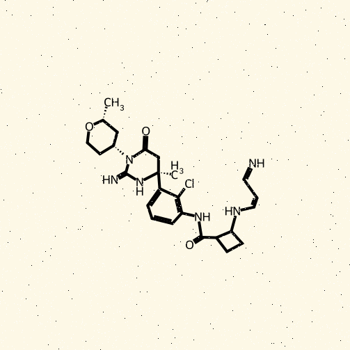 C[C@@H]1C[C@H](N2C(=N)N[C@](C)(c3cccc(NC(=O)C4CCC4N/C=C\C=N)c3Cl)CC2=O)CCO1